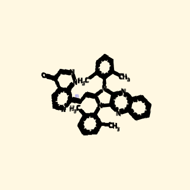 Cc1cccc(C)c1N1C(=C/C=c2/nccc3c2=NN=CC3=O)N(c2c(C)cccc2C)c2nc3ccccc3nc21